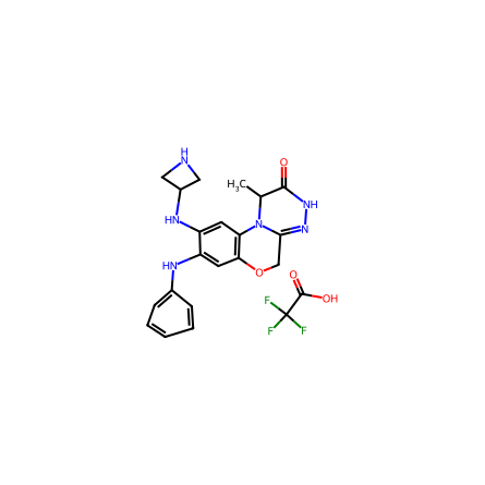 CC1C(=O)NN=C2COc3cc(Nc4ccccc4)c(NC4CNC4)cc3N21.O=C(O)C(F)(F)F